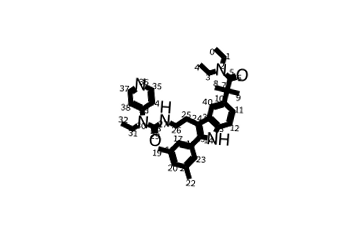 CCN(CC)C(=O)C(C)(C)c1ccc2[nH]c(-c3cc(C)cc(C)c3)c(CCNC(=O)N(CC)c3ccncc3)c2c1